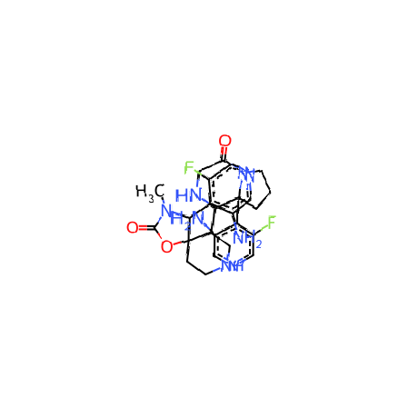 CN1C(=O)OC2(CCNCC2C2NCC(=O)N3CCCC23c2c(N)cncc2F)C1c1c(N)cncc1F